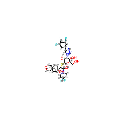 CO[C@@H]1[C@@H](n2cc(-c3cc(F)c(F)c(F)c3)nn2)[C@@H](O)[C@@H](CO)O[C@H]1SC(C(=O)N1CCC(F)(F)CC1)C1(O)CCC2(CCOCC2)CC1